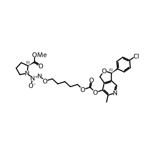 COC(=O)[C@@H]1CCCN1[N+]([O-])=NOCCCCCOC(=O)Oc1c(C)ncc2c1CO[C@H]2c1ccc(Cl)cc1